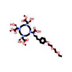 CCOCCOCCOc1ccc(CCC[C@@H](C(=O)O)N2CCN([C@H](CO)C(=O)OC)CCN([C@@H](CO)C(=O)OC)CCN([C@@H](CO)C(=O)OC)CC2)cc1